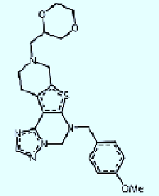 COc1ccc(CN2Cn3ncnc3-c3c2sc2c3CCN(CC3COCCO3)C2)cc1